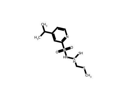 CSC[SH](S)NS(=O)(=O)c1cc(C(C)C)ccn1